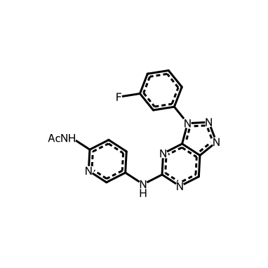 CC(=O)Nc1ccc(Nc2ncc3nnn(-c4cccc(F)c4)c3n2)cn1